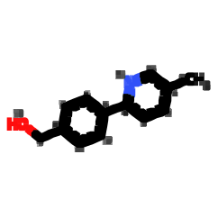 Cc1ccc(-c2ccc(CO)cc2)nc1